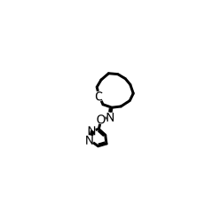 c1cnnc(ON=C2CCCCCCCCCCC2)c1